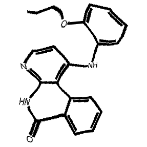 CCOc1ccccc1Nc1ccnc2[nH]c(=O)c3ccccc3c12